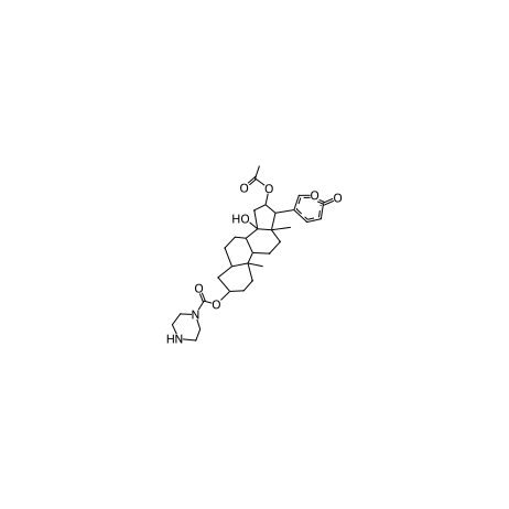 CC(=O)OC1CC2(O)C3CCC4CC(OC(=O)N5CCNCC5)CCC4(C)C3CCC2(C)C1c1ccc(=O)oc1